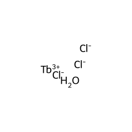 O.[Cl-].[Cl-].[Cl-].[Tb+3]